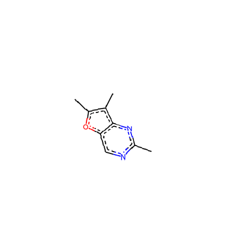 Cc1ncc2oc(C)c(C)c2n1